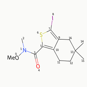 CON(C)C(=O)c1sc(I)c2c1CCC(C)(C)C2